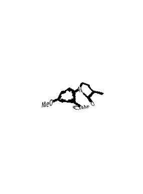 COc1ccc(N2CCC(C)C2=O)c(OC)c1